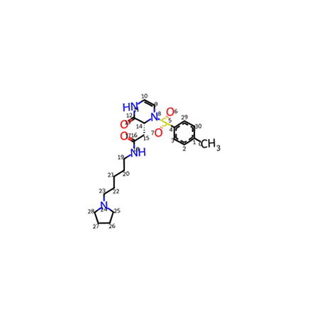 Cc1ccc(S(=O)(=O)N2C=CNC(=O)[C@H]2CC(=O)NCCCCCN2CCCC2)cc1